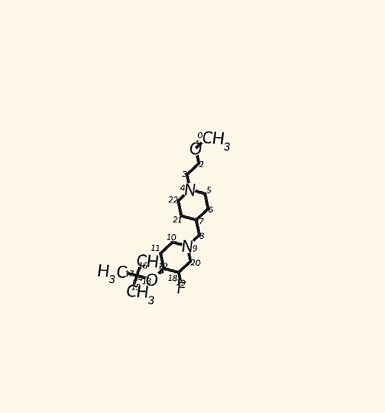 COCCN1CCC(CN2CCC(OC(C)(C)C)C(F)C2)CC1